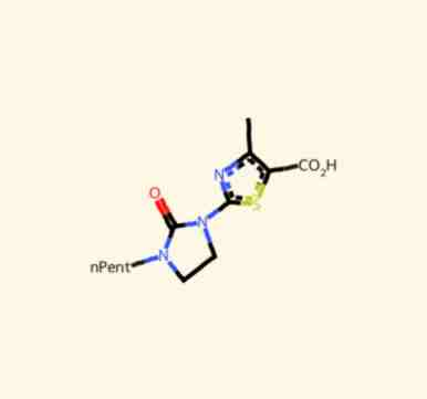 CCCCCN1CCN(c2nc(C)c(C(=O)O)s2)C1=O